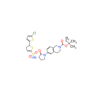 CC(C)(C)OC(=O)N1CCc2cc(N3CC[C@H](NS(=O)(=O)C4=CCC(c5ccc(Cl)s5)S4)C3=O)ccc2C1